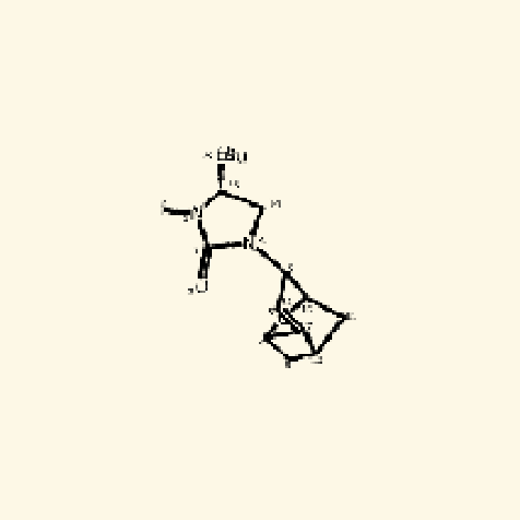 CN1C(=O)N(C2C=C3C4CC3CC2C4)C[C@@H]1C(C)(C)C